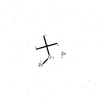 CC(C)(C)[O][Zn].[Zn]